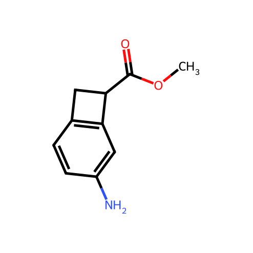 COC(=O)C1Cc2ccc(N)cc21